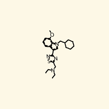 CCN(CC)Cc1nc(-c2cn(CC3CCCCC3)c3c(OC)cccc23)ns1